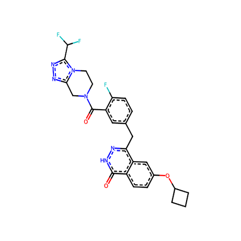 O=C(c1cc(Cc2n[nH]c(=O)c3ccc(OC4CCC4)cc23)ccc1F)N1CCn2c(nnc2C(F)F)C1